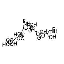 O=P(O)(O)OCCOP(=O)(O)OCC(CNF)COP(=O)(O)OCCOP(=O)(O)OCC(CO)CNF